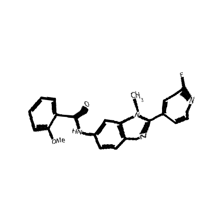 COc1ccccc1C(=O)Nc1ccc2nc(-c3ccnc(F)c3)n(C)c2c1